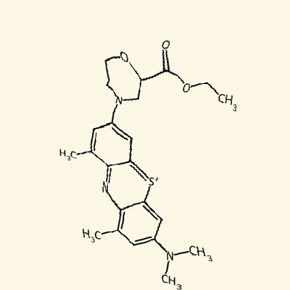 CCOC(=O)C1CN(c2cc(C)c3nc4c(C)cc(N(C)C)cc4[s+]c3c2)CCO1